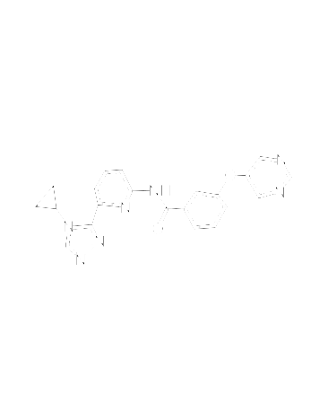 O=C(Nc1cccc(-c2nncn2C2CC2)n1)c1cccc(Oc2cncnc2)c1